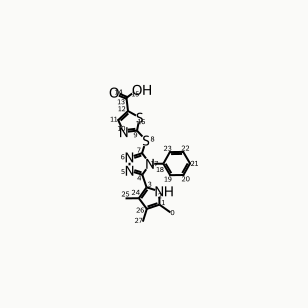 Cc1[nH]c(-c2nnc(Sc3ncc(C(=O)O)s3)n2-c2ccccc2)c(C)c1C